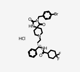 Cl.O=C(N[C@@H](CCN1CCC2(CC1)NC(=O)N(Cc1ccc(Br)cc1)C2=O)c1ccccc1)C1CCC(F)(F)CC1